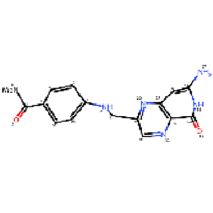 CNC(=O)c1ccc(NCc2cnc3c(=O)[nH]c(N)cc3n2)cc1